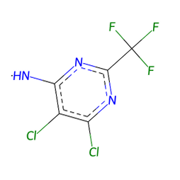 [NH]c1nc(C(F)(F)F)nc(Cl)c1Cl